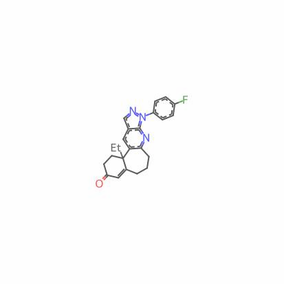 CCC12CCC(=O)C=C1CCCc1nc3c(cnn3-c3ccc(F)cc3)cc12